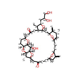 C=C1C[C@@H]2CCC(=O)C[C@@H]3O[C@H]4[C@@H](O)[C@H]5O[C@H](CC[C@@H]5O[C@H]4[C@H]3C)CC(=O)CC3[C@H](CC4O[C@@H](CCC1O2)C[C@@H](C)C4=C)O[C@H](C[C@H](O)CO)[C@@H]3C